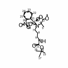 COC(=O)C(C)N(CCCNC(=O)OC(C)(C)C)S(=O)(=O)c1ccccc1[N+](=O)[O-]